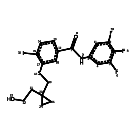 O=C(Nc1cc(F)c(F)c(F)c1)c1ccc(I)c(SCC2(CCO)CC2)c1